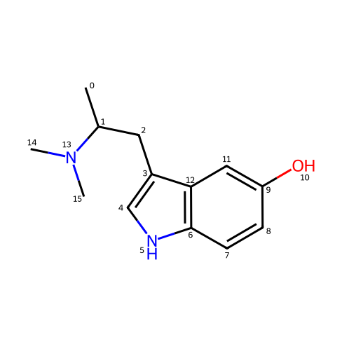 CC(Cc1c[nH]c2ccc(O)cc12)N(C)C